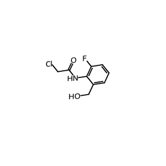 O=C(CCl)Nc1c(F)cccc1CO